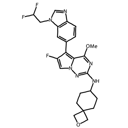 COc1nc(NC2CCC3(CC2)COC3)nn2cc(F)c(-c3ccc4ncn(CC(F)F)c4c3)c12